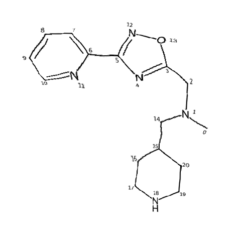 CN(Cc1nc(-c2ccccn2)no1)CC1CCNCC1